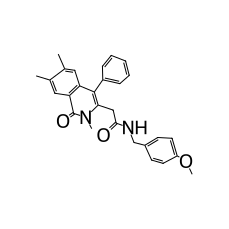 COc1ccc(CNC(=O)Cc2c(-c3ccccc3)c3cc(C)c(C)cc3c(=O)n2C)cc1